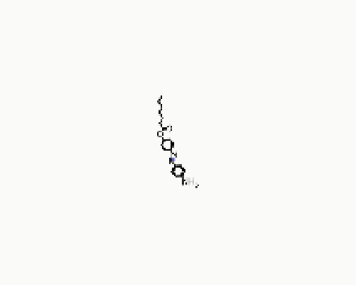 CCCCCCC(=O)Oc1ccc(/N=N/c2ccc(N)cc2)cc1